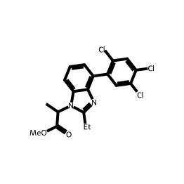 CCc1nc2c(-c3cc(Cl)c(Cl)cc3Cl)cccc2n1C(C)C(=O)OC